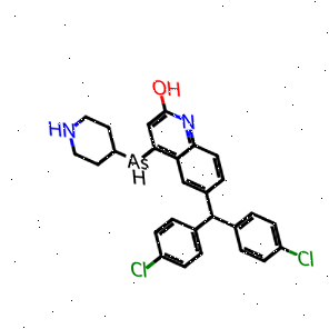 Oc1cc([AsH]C2CCNCC2)c2cc(C(c3ccc(Cl)cc3)c3ccc(Cl)cc3)ccc2n1